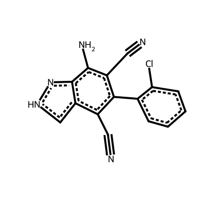 N#Cc1c(-c2ccccc2Cl)c(C#N)c2c[nH]nc2c1N